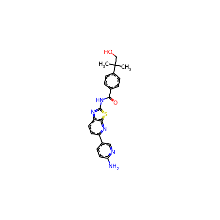 CC(C)(CO)c1ccc(C(=O)Nc2nc3ccc(-c4ccc(N)nc4)nc3s2)cc1